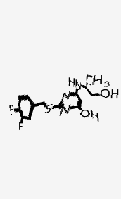 C[C@H](CO)Nc1cc(O)nc(SCc2ccc(F)c(F)c2)n1